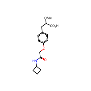 COC(Cc1ccc(OCC(=O)NC2CCC2)cc1)C(=O)O